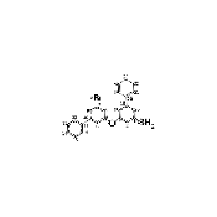 Bc1cc(Oc2cc(Br)cc(-c3ccccc3)c2)cc(C2=CCCC=C2)c1